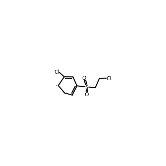 O=S(=O)(CCCl)C1=CC[CH]C(Cl)=C1